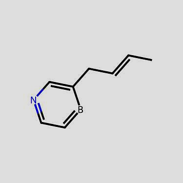 CC=CCc1bccnc1